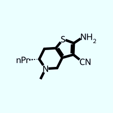 CCC[C@@H]1Cc2sc(N)c(C#N)c2CN1C